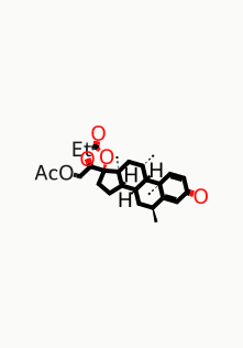 CCC(=O)O[C@]1(C(=O)COC(C)=O)CC[C@H]2[C@@H]3C[C@H](C)C4=CC(=O)C=C[C@]4(C)[C@H]3[C@@H](C)C[C@@]21C